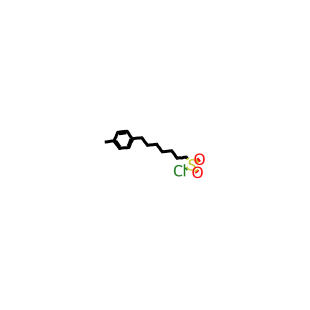 Cc1ccc(CCCCCCCS(=O)(=O)Cl)cc1